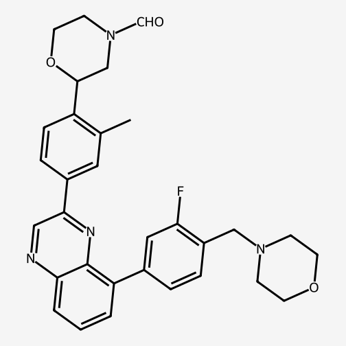 Cc1cc(-c2cnc3cccc(-c4ccc(CN5CCOCC5)c(F)c4)c3n2)ccc1C1CN(C=O)CCO1